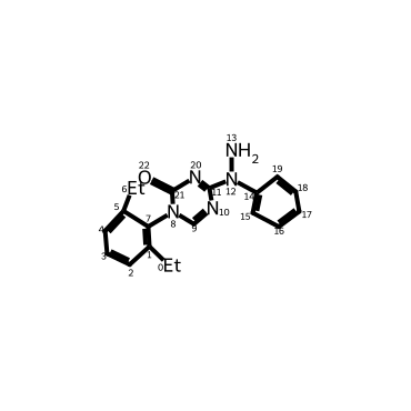 CCc1cccc(CC)c1-n1cnc(N(N)c2ccccc2)nc1=O